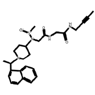 CC#CCNC(=O)CNC(=O)CN(C1CCN(C(C)c2cccc3ccccc23)CC1)[S+](C)[O-]